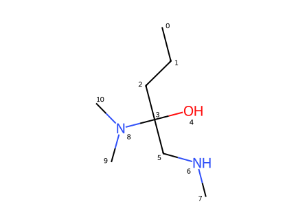 CCCC(O)(CNC)N(C)C